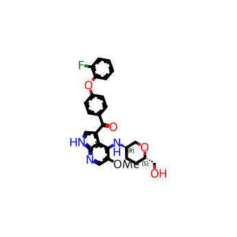 COc1cnc2[nH]cc(C(=O)c3ccc(Oc4ccccc4F)cc3)c2c1N[C@@H]1CC[C@@H](CO)OC1